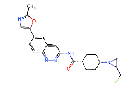 Cc1ncc(-c2ccc3nnc(NC(=O)[C@H]4CC[C@H](N5CC5CF)CC4)cc3c2)o1